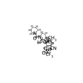 CC1(C)[C@H]2Cc3c(ccc(C#N)c3OS(=O)(=O)C(F)(F)F)[C@]1(C)CCN2C(=O)N1CCCCC1